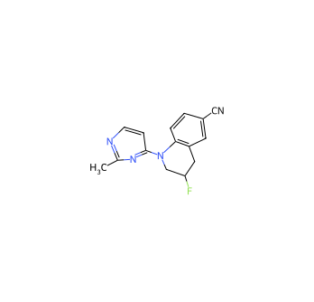 Cc1nccc(N2CC(F)Cc3cc(C#N)ccc32)n1